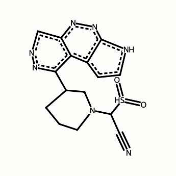 N#CC(N1CCCC(c2nncc3nnc4[nH]ccc4c23)C1)[SH](=O)=O